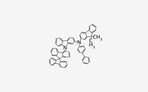 CC1(C)c2ccccc2-c2ccc(N(c3ccc(-c4ccccc4)cc3)c3ccc4c5ccccc5n(-c5cccc6c5-c5ccccc5C65c6ccccc6-c6ccccc65)c4c3)cc21